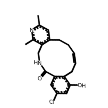 Cc1cc2c(c(C)n1)CNC(=O)c1cc(Cl)cc(O)c1C/C=C\CC2